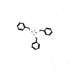 [Cl][Ti]([O]Cc1ccccc1)([O]Cc1ccccc1)[O]Cc1ccccc1